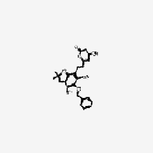 CCCc1c(CCC2CC(O)CC(=O)O2)c2c(c(CCC)c1OCc1ccccc1)CC(C)(C)O2